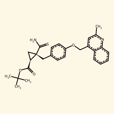 Cc1cc(COc2ccc(C[C@]3(C(N)=S)C[C@@H]3C(=O)OC(C)(C)C)cc2)c2ccccc2n1